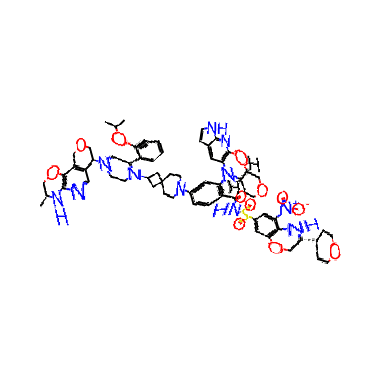 CC(C)Oc1ccccc1[C@@H]1CN([C@@H]2COCc3c2cnc2c3OC[C@H](C)N2)CCN1C1CC2(CCN(c3ccc(C(=O)NS(=O)(=O)c4cc5c(c([N+](=O)[O-])c4)N[C@H](C4CCOCC4)CO5)c(N4c5cc6cc[nH]c6nc5O[C@H]5COCC[C@@H]54)c3)CC2)C1